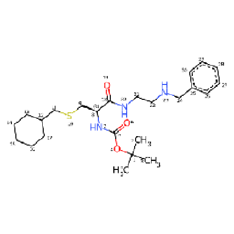 CC(C)(C)OC(=O)N[C@@H](CSCC1CCCCC1)C(=O)NCCNCc1ccccc1